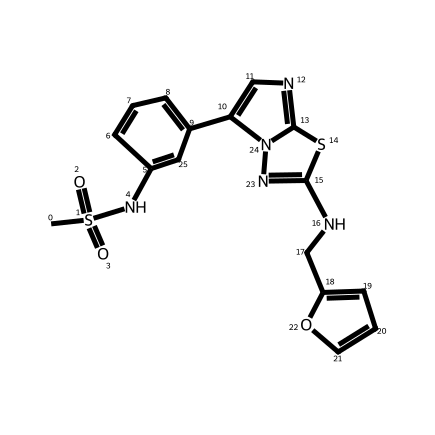 CS(=O)(=O)Nc1cccc(-c2cnc3sc(NCc4ccco4)nn23)c1